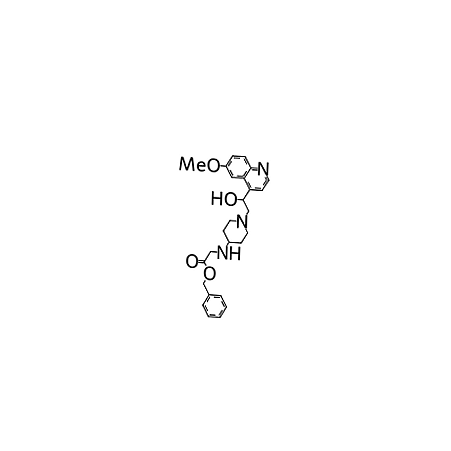 COc1ccc2nccc(C(O)CN3CCC(NCC(=O)OCc4ccccc4)CC3)c2c1